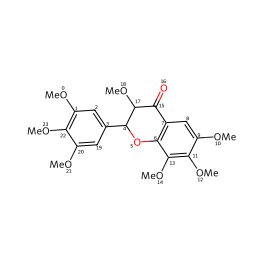 COc1cc(C2Oc3c(cc(OC)c(OC)c3OC)C(=O)C2OC)cc(OC)c1OC